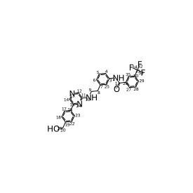 O=C(Nc1cccc(CCNc2cncc(-c3ccc(CO)cc3)n2)c1)c1cccc(C(F)(F)F)c1